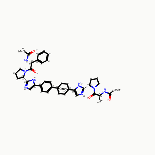 COC(=O)N[C@H](C(=O)N1CCC[C@H]1c1ncc(C23CCC(c4ccc(-c5cnc([C@@H]6CCCN6C(=O)[C@H](NC(=O)OC)c6ccccc6)[nH]5)cc4)(CC2)CC3)[nH]1)C(C)C